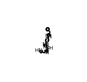 c1ccc(Cc2cnc(N3CCN(c4ncnc(Nc5cnn(CC6CCNC6)c5)n4)CC3)nc2)cc1